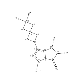 O=C1c2c(C(F)(F)F)nn(C3CC4(C3)CC(F)(F)C4)c2C(F)C1F